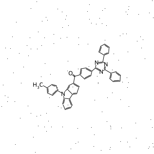 Cc1ccc(-n2c3ccccc3c3ccc(C(=O)c4ccc(-c5nc(-c6ccccc6)nc(-c6ccccc6)n5)cc4)cc32)cc1